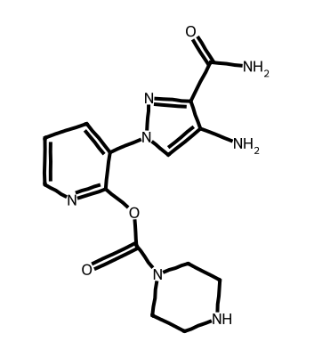 NC(=O)c1nn(-c2cccnc2OC(=O)N2CCNCC2)cc1N